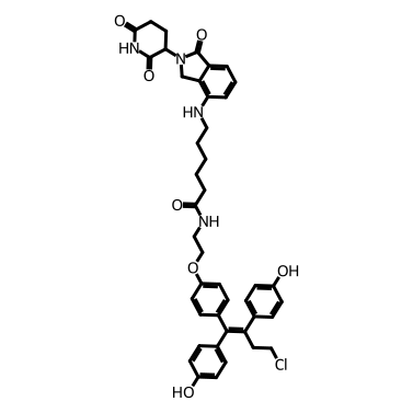 O=C(CCCCCNc1cccc2c1CN(C1CCC(=O)NC1=O)C2=O)NCCOc1ccc(C(=C(CCCl)c2ccc(O)cc2)c2ccc(O)cc2)cc1